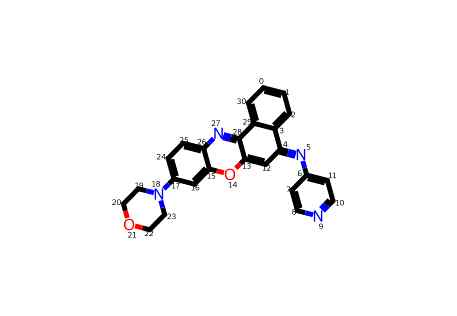 c1ccc2c(=Nc3ccncc3)cc3oc4cc(N5CCOCC5)ccc4nc-3c2c1